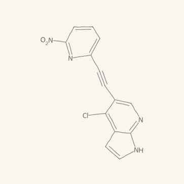 O=[N+]([O-])c1cccc(C#Cc2cnc3[nH]ccc3c2Cl)n1